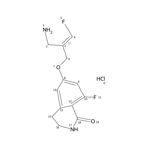 Cl.NC/C(=C\F)COc1cc(F)c2c(c1)CCNC2=O